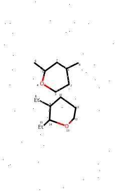 CC1CCOC(C)C1.CCC1CCCOC1CC